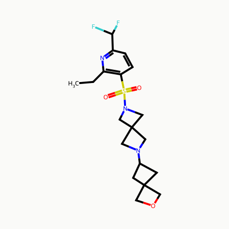 CCc1nc(C(F)F)ccc1S(=O)(=O)N1CC2(CN(C3CC4(COC4)C3)C2)C1